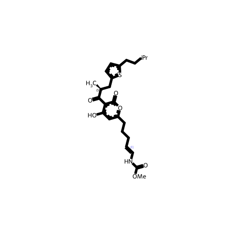 COC(=O)N/C=C/CCCc1cc(O)c(C(=O)[C@@H](C)Cc2ccc(CCC(C)C)s2)c(=O)o1